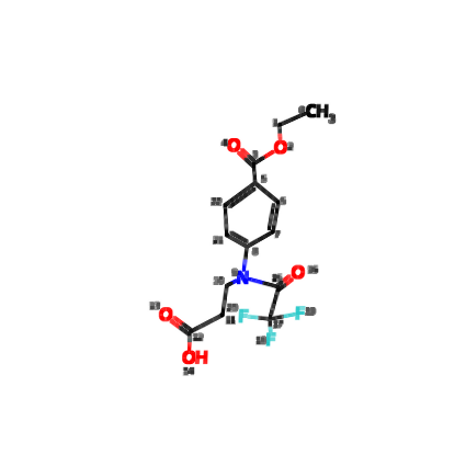 CCOC(=O)c1ccc(N(CCC(=O)O)C(=O)C(F)(F)F)cc1